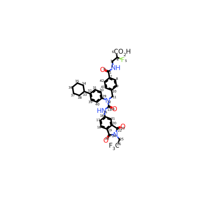 O=C(NCC(F)C(=O)O)c1ccc(CN(C(=O)Nc2ccc3c(c2)C(=O)N(CC(F)(F)F)C3=O)c2ccc(C3CCCCC3)cc2)cc1